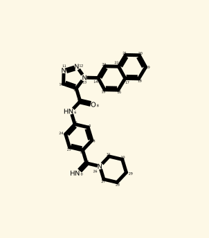 N=C(c1ccc(NC(=O)c2cnnn2-c2ccc3ccccc3c2)cc1)N1CCCCC1